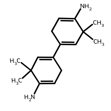 CC1(C)C=C(C2=CC(C)(C)C(N)=CC2)CC=C1N